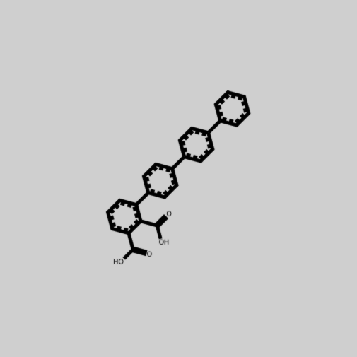 O=C(O)c1cccc(-c2ccc(-c3ccc(-c4ccccc4)cc3)cc2)c1C(=O)O